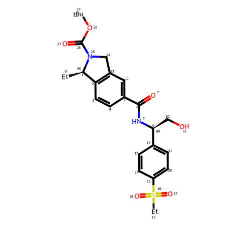 CC[C@@H]1c2ccc(C(=O)N[C@@H](CO)c3ccc(S(=O)(=O)CC)cc3)cc2CN1C(=O)OC(C)(C)C